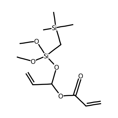 C=CC(=O)OC(C=C)O[Si](C[Si](C)(C)C)(OC)OC